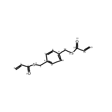 C=CC(=O)SCc1ccc(CSC(=O)C=C)cc1